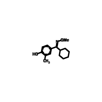 CON=C(c1ccc(O)c(C)c1)C1CCCCC1